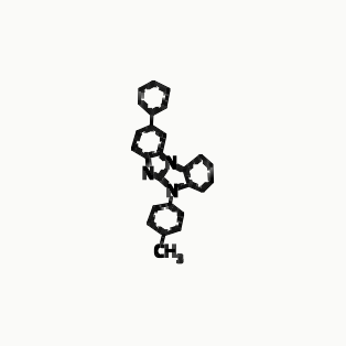 Cc1ccc(-n2c3ccccc3n3c4cc(-c5ccccc5)ccc4nc23)cc1